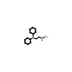 CNCCB(c1cc[c]cc1)c1ccccc1